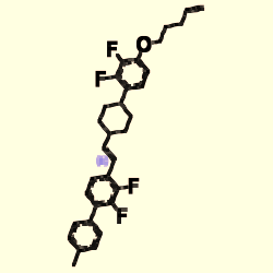 C=CCCCOc1ccc(C2CCC(/C=C/c3ccc(-c4ccc(C)cc4)c(F)c3F)CC2)c(F)c1F